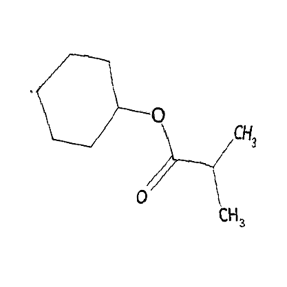 CC(C)C(=O)OC1CC[CH]CC1